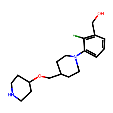 OCc1cccc(N2CCC(COC3CCNCC3)CC2)c1F